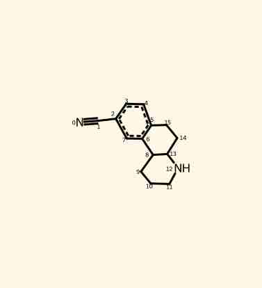 N#Cc1ccc2c(c1)C1CCCNC1CC2